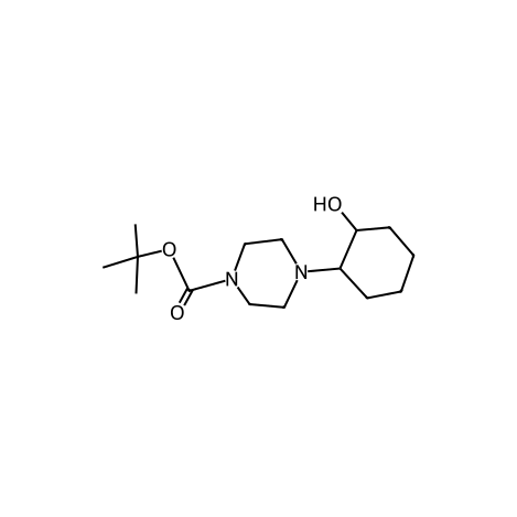 CC(C)(C)OC(=O)N1CCN(C2CCCCC2O)CC1